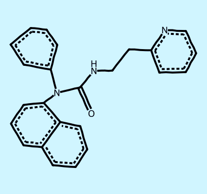 O=C(NCCc1ccccn1)N(c1ccccc1)c1cccc2ccccc12